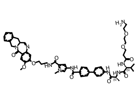 COc1cc2c(cc1OCCCNC(=O)c1cc(NC(=O)c3ccc(-c4ccc(NC(=O)[C@H](C)NC(=O)[C@@H](NC(=O)CCOCCOCCN)C(C)C)cc4)cc3)cn1C)N=CC1Cc3ccccc3CN1C2=O